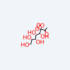 CC(=O)C1([C@@H](O)[C@@H](O)[C@H](O)[C@H](O)CO)OOO1